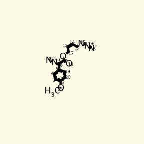 COc1ccc(C(=[N+]=[N-])C(=O)OC/C=C\CN=[N+]=[N-])cc1